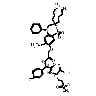 CCCCC1(CCCC)CN(c2ccccc2)c2cc(SC)c(OCC(=O)N[C@@H](C(=O)N[C@@H](CCS(C)(=O)=O)C(=O)O)c3ccc(O)cc3)cc2S(=O)(=O)C1